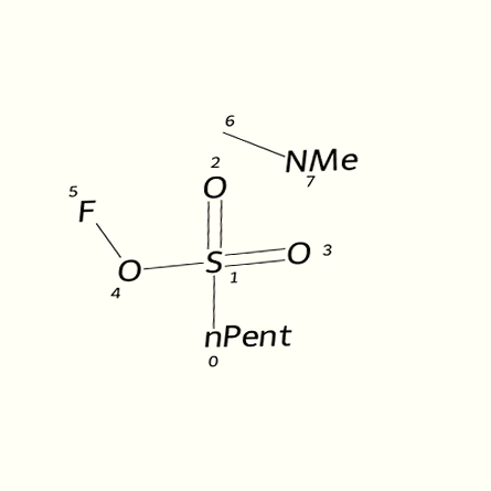 CCCCCS(=O)(=O)OF.CNC